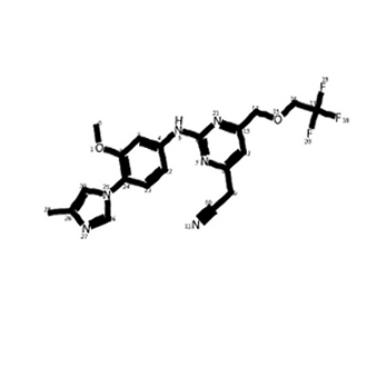 COc1cc(Nc2nc(CC#N)cc(COCC(F)(F)F)n2)ccc1-n1cnc(C)c1